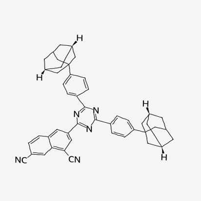 N#Cc1ccc2cc(-c3nc(-c4ccc(C56CC7C[C@H](C5)C[C@@H](C7)C6)cc4)nc(-c4ccc(C56CC7C[C@H](C5)C[C@@H](C7)C6)cc4)n3)cc(C#N)c2c1